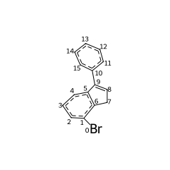 Brc1cccc2c1CC=C2c1ccccc1